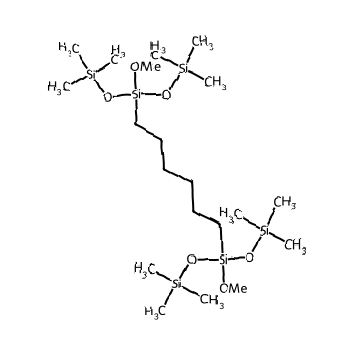 CO[Si](CCCCCC[Si](OC)(O[Si](C)(C)C)O[Si](C)(C)C)(O[Si](C)(C)C)O[Si](C)(C)C